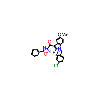 COc1ccc2c(c1)c(C(=O)c1noc(-c3ccccc3)n1)c(C(F)(F)F)n2Cc1ccc(Cl)cc1